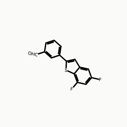 O=Cc1cccc(-c2cc3cc(F)cc(F)c3s2)c1